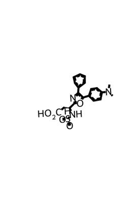 CN(C)c1ccc(-c2oc([C@H](CC(=O)O)N[SH](=O)=O)nc2-c2ccccc2)cc1